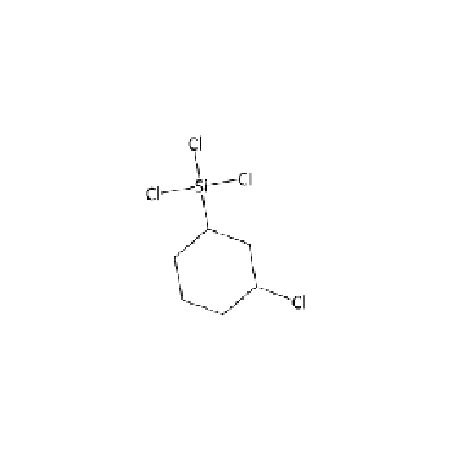 ClC1CCCC([Si](Cl)(Cl)Cl)C1